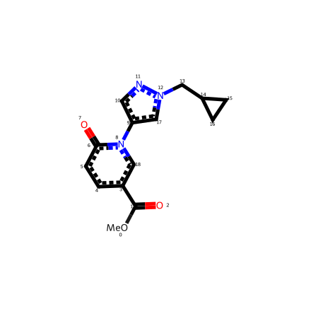 COC(=O)c1ccc(=O)n(-c2cnn(CC3CC3)c2)c1